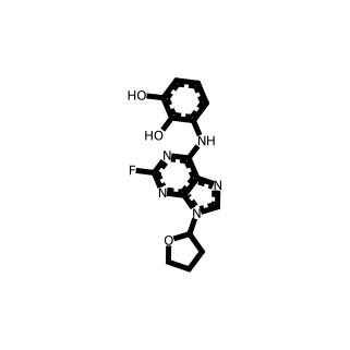 Oc1cccc(Nc2nc(F)nc3c2ncn3C2CCCO2)c1O